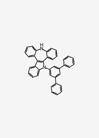 c1ccc(-c2cc(-c3ccccc3)cc(-n3c4c(c5ccccc53)-c3ccccc3Nc3ccccc3-4)c2)cc1